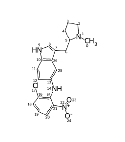 CN1CCCC1Cc1c[nH]c2ccc(Nc3c(Cl)cccc3[N+](=O)[O-])cc12